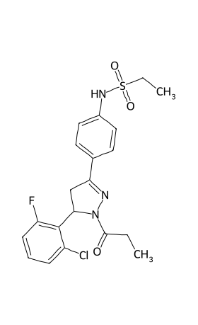 CCC(=O)N1N=C(c2ccc(NS(=O)(=O)CC)cc2)CC1c1c(F)cccc1Cl